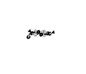 Cc1c(NC(=O)c2cc(C3CC3)c(CN3CCCCC3)cn2)cccc1-c1cccc(NC(=O)c2cc3c(cn2)CN(C2CC2)CC3)c1Cl